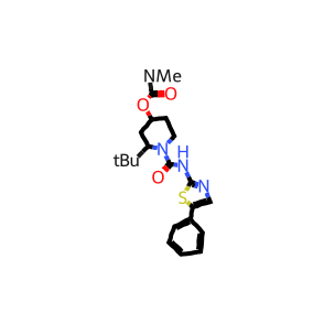 CNC(=O)OC1CCN(C(=O)Nc2ncc(-c3ccccc3)s2)C(C(C)(C)C)C1